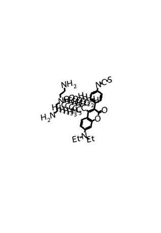 CC(=O)O.CC(=O)O.CC(=O)O.CC(=O)O.CC(=O)O.CCN(CC)c1ccc2c(C)c(-c3ccc(N=C=S)cc3)c(=O)oc2c1.NCCNCCN